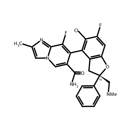 CNC[C@@]1(c2ccccc2)Cc2c(cc(F)c(Cl)c2-c2c(C(N)=O)cn3cc(C)nc3c2F)O1